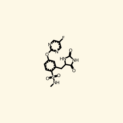 CNS(=O)(=O)c1ccc(Oc2ncc(F)cn2)cc1CC1NC(=O)NC1=O